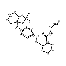 CC(C)(C)OC1(Oc2ccc(SCC3CCCCC3C(=O)NCC#N)cc2)CCNCC1